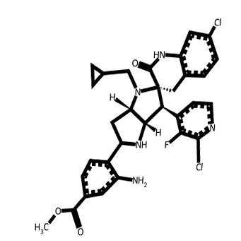 COC(=O)c1ccc(C2C[C@H]3[C@@H](N2)[C@H](c2ccnc(Cl)c2F)[C@@]2(Cc4ccc(Cl)cc4NC2=O)N3CC2CC2)c(N)c1